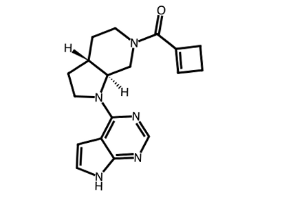 O=C(C1=CCC1)N1CC[C@H]2CCN(c3ncnc4[nH]ccc34)[C@@H]2C1